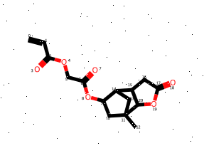 C=CC(=O)OCC(=O)OC1CC2(C)CC1C1CC(=O)OC12